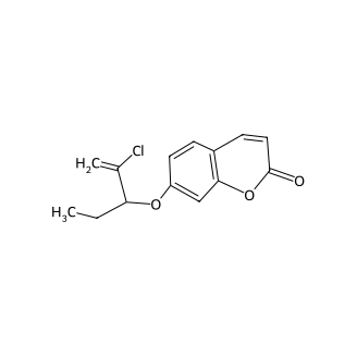 C=C(Cl)C(CC)Oc1ccc2ccc(=O)oc2c1